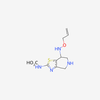 C=CCONC1CNCc2nc(NC(=O)O)sc21